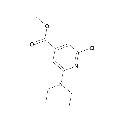 CCN(CC)c1cc(C(=O)OC)cc(Cl)n1